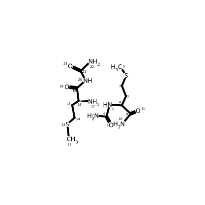 CSCCC(NC(N)=O)C(N)=O.CSCC[C@H](N)C(=O)NC(N)=O